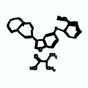 CC(C)C(=O)O.COc1ccccc1Sc1ccc2occ(C3CCN4CCCCC4C3)c2c1